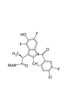 CNC(=O)[C@@H](C)c1c(C)n(C(=O)c2ccc(Cl)c(F)c2)c2cc(F)c(O)c(F)c12